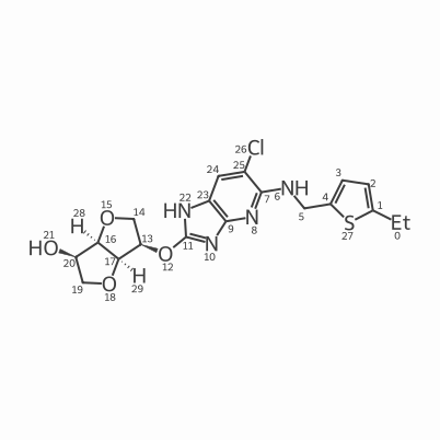 CCc1ccc(CNc2nc3nc(O[C@@H]4CO[C@H]5[C@@H]4OC[C@H]5O)[nH]c3cc2Cl)s1